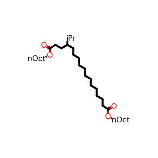 CCCCCCCCOC(=O)CCCCCCCCCCCCC(CCC(=O)OCCCCCCCC)C(C)C